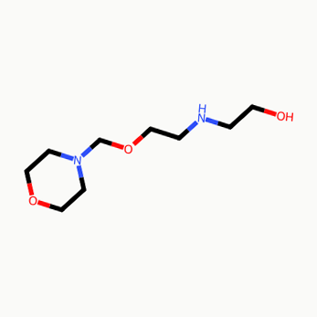 OCCNCCOCN1CCOCC1